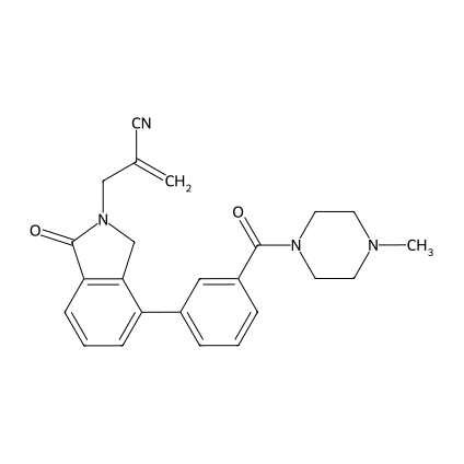 C=C(C#N)CN1Cc2c(cccc2-c2cccc(C(=O)N3CCN(C)CC3)c2)C1=O